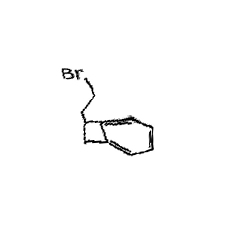 BrCCC1Cc2ccccc21